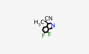 CC(C#N)c1cncc2c(F)c(F)ccc12